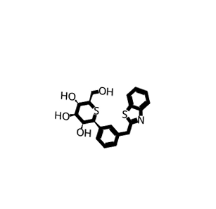 OC[C@H]1S[C@@H](c2cccc(Cc3nc4ccccc4s3)c2)[C@H](O)[C@@H](O)[C@@H]1O